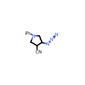 CC(C)N1CC(C#N)C(N=[N+]=[N-])C1